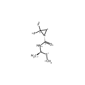 CS[C@@H](C)NC(=O)[C@H]1CC1(F)F